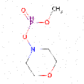 CO[PH](=O)ON1CCOCC1